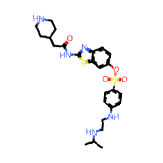 CC(C)NCCNc1ccc(S(=O)(=O)Oc2ccc3nc(NC(=O)CC4CCNCC4)sc3c2)cc1